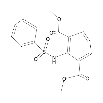 COC(=O)c1cccc(C(=O)OC)c1NS(=O)(=O)c1ccccc1